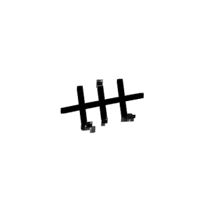 CCCC(C)(C)C(F)(F)C(C)(C)C(F)(F)F